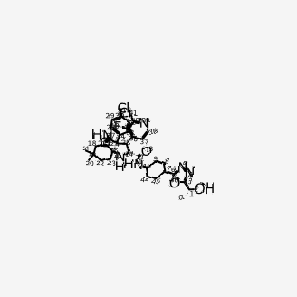 C[C@@H](O)c1nnc(C2CCC(NC(=O)[C@@H]3NC4(CCC(C)(C)CC4)[C@@]4(C(=O)Nc5cc(Cl)ccc54)[C@H]3c3ccnc(Cl)c3F)CC2)o1